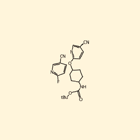 CC(C)(C)OC(=O)NC1CCC(Oc2ccc(C#N)cn2)CC1.N#Cc1ccc(F)nc1